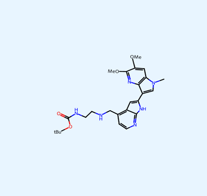 COc1cc2c(nc1OC)c(-c1cc3c(CNCCNC(=O)OC(C)(C)C)ccnc3[nH]1)cn2C